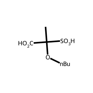 CCCCOC(C)(C(=O)O)S(=O)(=O)O